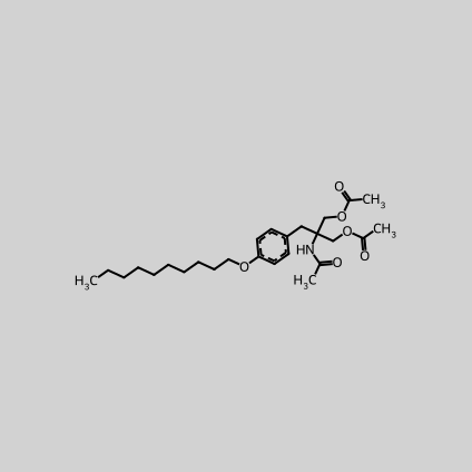 CCCCCCCCCCOc1ccc(CC(COC(C)=O)(COC(C)=O)NC(C)=O)cc1